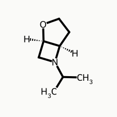 CC(C)N1C[C@H]2OCC[C@H]21